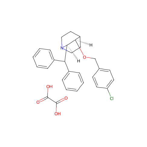 Clc1ccc(CO[C@@H]2C3CCN(CC3)[C@@H]2C(c2ccccc2)c2ccccc2)cc1.O=C(O)C(=O)O